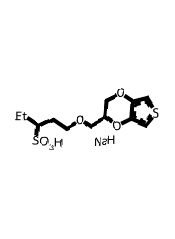 CCC(CCOCC1COc2cscc2O1)S(=O)(=O)O.[NaH]